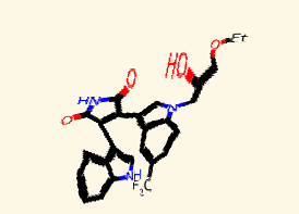 CCOCC(O)Cn1cc(C2=C(c3c[nH]c4ccccc34)C(=O)NC2=O)c2cc(C(F)(F)F)ccc21